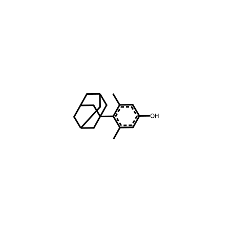 Cc1cc(O)cc(C)c1C12CC3CC(CC(C3)C1)C2